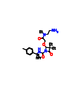 CCC[C@@H](NC(=O)N1C(=O)C(CC)(CC)C1OCC(=O)N(CC)CCN)c1ccc(C)cc1